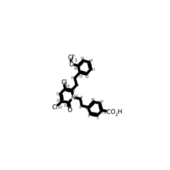 O=C(O)c1ccc(CCn2c(CCc3ccccc3OC(F)(F)F)c(Cl)cc(Cl)c2=O)cc1